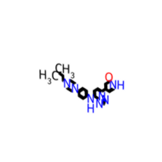 CC(C)CCN1CCN(c2ccc(Nc3ccc(-c4cc[nH]c(=O)c4)n4ncnc34)cc2)CC1